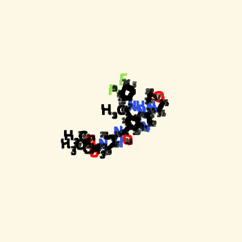 CC(Nc1ccc(F)c(F)c1)c1cc(C(=O)NC2CCN(C(=O)OC(C)(C)C)C2)cc2ncc(N3CCOCC3)nc12